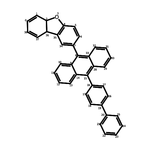 C1=CC2Oc3ccc(-c4c5ccccc5c(-c5ccc(-c6ccccc6)cc5)c5ccccc45)cc3C2C=C1